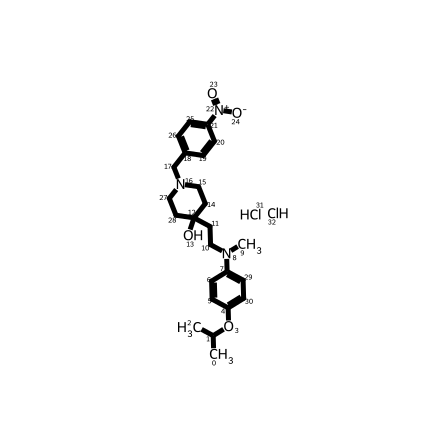 CC(C)Oc1ccc(N(C)CCC2(O)CCN(Cc3ccc([N+](=O)[O-])cc3)CC2)cc1.Cl.Cl